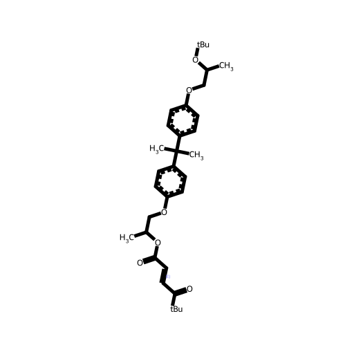 CC(COc1ccc(C(C)(C)c2ccc(OCC(C)OC(C)(C)C)cc2)cc1)OC(=O)/C=C/C(=O)C(C)(C)C